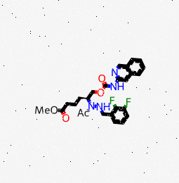 COC(=O)CCC[C@@H](COC(=O)Nc1cc2ccccc2cn1)N(NCc1cccc(F)c1F)C(C)=O